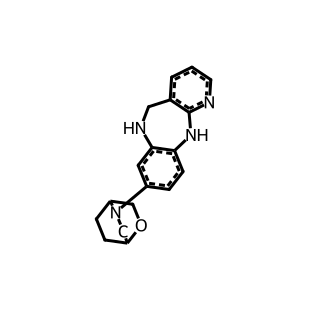 c1cnc2c(c1)CNc1cc(N3CC4CCC3CO4)ccc1N2